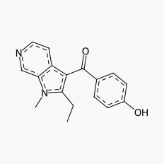 CCc1c(C(=O)c2ccc(O)cc2)c2ccncc2n1C